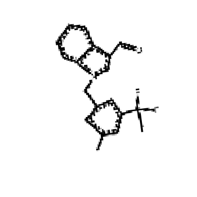 Cc1cc(Cn2cc(C=O)c3ccccc32)cc(C(F)(F)F)c1